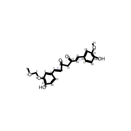 COCOc1cc(/C=C/C(=O)CC(=O)/C=C/c2ccc(O)c(OC)c2)ccc1O